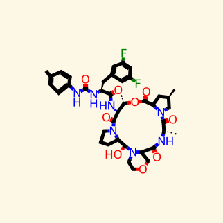 Cc1ccc(NC(=O)N[C@@H](Cc2cc(F)cc(F)c2)C(=O)N[C@@H]2C(=O)N3CCCC3C(O)N3CCOCC3C(=O)N[C@@H](C)C(=O)N3C[C@H](C)CC3C(=O)O[C@H]2C)cc1